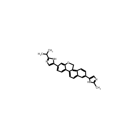 Cc1ncc(-c2ccc3c4c(ccc3c2)-c2ccc(-c3cnc(C(C)C)[nH]3)cc2OC4)[nH]1